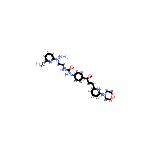 Cc1cccc(N(N)CCNC(=O)Nc2ccc(C(=O)C=Cc3cccc(N4CCOCC4)n3)cc2)n1